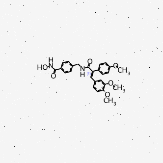 COc1ccc(/C(=C\c2ccc(OC)c(OC)c2)C(=O)NCc2ccc(C(=O)NO)cc2)cc1